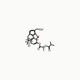 CC(C)C(=O)O[C@@H](C)C(=O)OC1=CC[C@@]2(O)[C@H]3Cc4ccc(CO)c5c4[C@@]2(CCN3C)[C@H]1O5